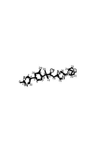 Cc1ncc(-c2ccc(C(C)(C)C(=O)Cc3cnc(N4C5COCC4C5)cn3)c(C)c2)cn1